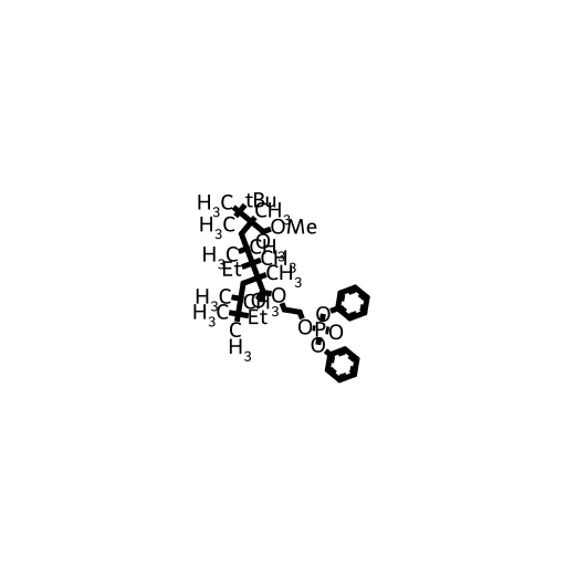 CCC(C)(C)C(C)(C)CC(C)(C(=O)OCCOP(=O)(Oc1ccccc1)Oc1ccccc1)C(C)(CC)C(C)(C)CC(C)(C(=O)OC)C(C)(C)C(C)(C)C